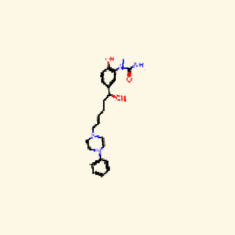 NC(=O)Nc1cc(C(O)CCCCCN2CCN(c3ccccc3)CC2)ccc1O